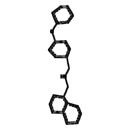 c1ccc(Oc2ccc(CNCc3cccc4ccccc34)cc2)cc1